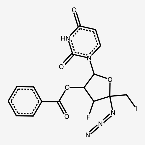 [N-]=[N+]=NC1(CI)OC(n2ccc(=O)[nH]c2=O)C(OC(=O)c2ccccc2)C1F